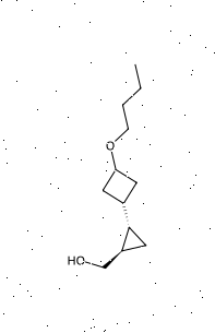 CCCCOC1CC([C@@H]2C[C@H]2CO)C1